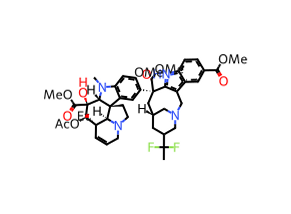 CC[C@]12C=CCN3CC[C@@]4(c5cc([C@@]6(C(=O)OC)C[C@H]7CC(C(C)(F)F)CN(Cc8c6[nH]c6ccc(C(=O)OC)cc86)C7)c(OC)cc5N(C)[C@H]4[C@@](O)(C(=O)OC)[C@@H]1OC(C)=O)[C@@H]32